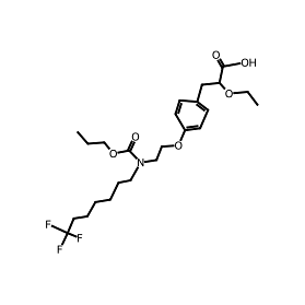 CCCOC(=O)N(CCCCCCC(F)(F)F)CCOc1ccc(CC(OCC)C(=O)O)cc1